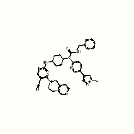 Cn1cc(-c2ccc(N(C(=O)NCc3ccccc3)C3CCC(Nc4ncc(C#N)c(N5CCc6cnccc6C5)n4)CC3)nc2)cn1